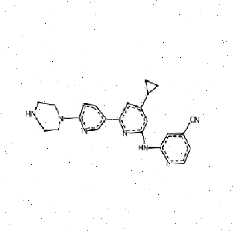 N#Cc1ccnc(Nc2cc(C3CC3)cc(-c3ccc(N4CCNCC4)nc3)n2)c1